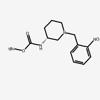 CC(C)(C)OC(=O)N[C@@H]1CCCN(Cc2ccccc2[N+](=O)[O-])C1